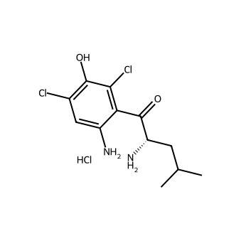 CC(C)C[C@H](N)C(=O)c1c(N)cc(Cl)c(O)c1Cl.Cl